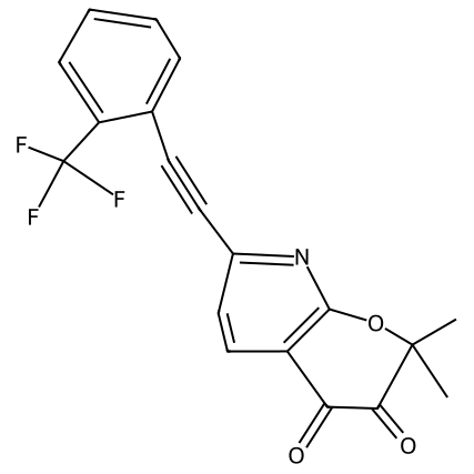 CC1(C)Oc2nc(C#Cc3ccccc3C(F)(F)F)ccc2C(=O)C1=O